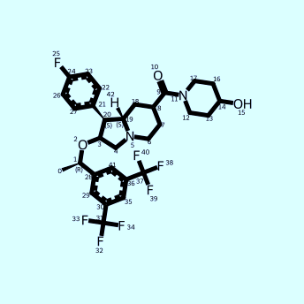 C[C@@H](OC1CN2CCC(C(=O)N3CCC(O)CC3)C[C@H]2[C@@H]1c1ccc(F)cc1)c1cc(C(F)(F)F)cc(C(F)(F)F)c1